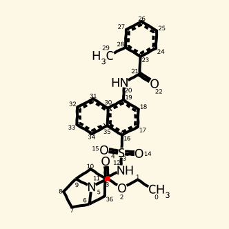 CCOC(=O)N1C2CCC1CC(NS(=O)(=O)c1ccc(NC(=O)c3ccccc3C)c3ccccc13)C2